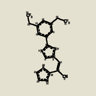 N#CC(=Cn1cnc(-c2cc(CC(F)(F)F)cc(CC(F)(F)F)c2)n1)c1nccs1